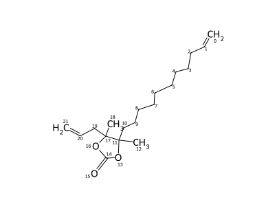 C=CCCCCCCCCCC1(C)OC(=O)OC1(C)CC=C